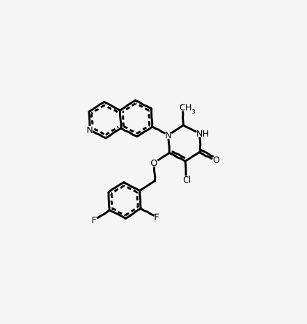 CC1NC(=O)C(Cl)=C(OCc2ccc(F)cc2F)N1c1ccc2ccncc2c1